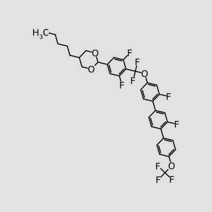 CCCCCC1COC(c2cc(F)c(C(F)(F)Oc3ccc(-c4ccc(-c5ccc(OC(F)(F)F)cc5)c(F)c4)c(F)c3)c(F)c2)OC1